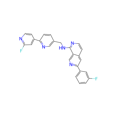 Fc1cccc(-c2cc3ccnc(NCc4ccc(-c5ccnc(F)c5)nc4)c3cn2)c1